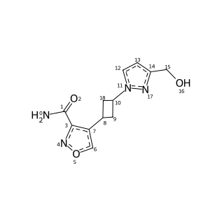 NC(=O)c1nocc1C1CC(n2ccc(CO)n2)C1